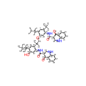 CC(C)[Si](C)(C)c1cc(C(C)(C)C)c(NC(=O)c2c[nH]c3ccccc3c2=O)cc1OCC(C)(C)c1cc([Si](C)(C)C(C)(C)C)c(O)cc1NC(=O)c1c[nH]c2ccccc2c1=O